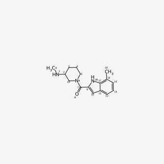 CNC1CCCN(C(=O)c2cc3cccc(C)c3[nH]2)C1